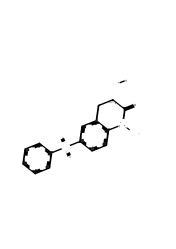 O=C(O)N[C@H]1Cc2cc(S(=O)(=O)c3ccccc3)ccc2N(O)C1=O